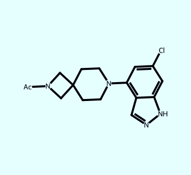 CC(=O)N1CC2(CCN(c3cc(Cl)cc4[nH]ncc34)CC2)C1